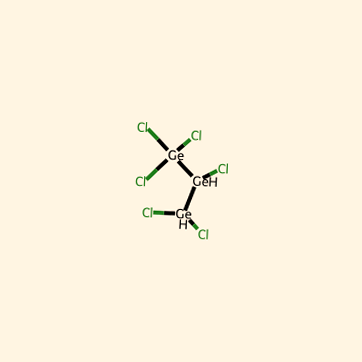 [Cl][GeH]([Cl])[GeH]([Cl])[Ge]([Cl])([Cl])[Cl]